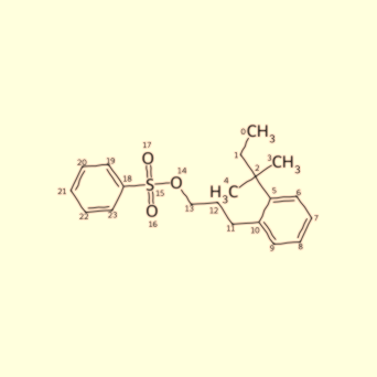 CCC(C)(C)c1ccccc1CCCOS(=O)(=O)c1ccccc1